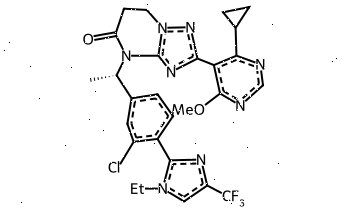 CCn1cc(C(F)(F)F)nc1-c1ccc([C@H](C)N2C(=O)CCn3nc(-c4c(OC)ncnc4C4CC4)nc32)cc1Cl